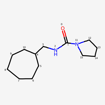 O=C(NCC1CCCCCC1)N1CCCC1